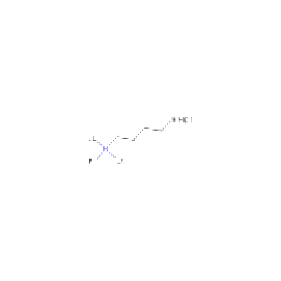 [CH2]CCCCCCCCC[CH][N+](CC)(CC)CC